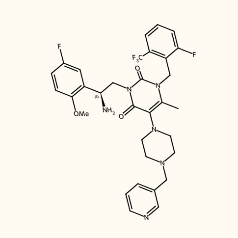 COc1ccc(F)cc1[C@H](N)Cn1c(=O)c(N2CCN(Cc3cccnc3)CC2)c(C)n(Cc2c(F)cccc2C(F)(F)F)c1=O